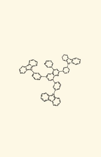 c1ccc(-c2cc(-c3cccc(-n4c5ccccc5c5ccccc54)c3)nc3c(-c4cccc(-n5c6ccccc6c6ccccc65)c4)cc(-c4cccc(-n5c6ccccc6c6ccccc65)c4)cc23)cc1